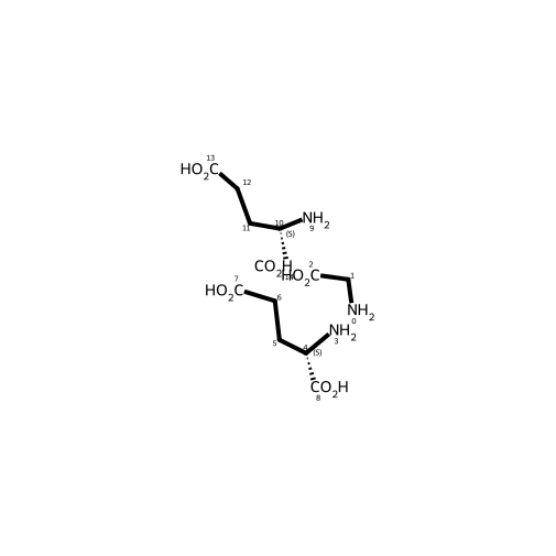 NCC(=O)O.N[C@@H](CCC(=O)O)C(=O)O.N[C@@H](CCC(=O)O)C(=O)O